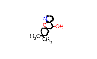 CC1(C)CCC2(CC1)CC(O)c1cccnc1O2